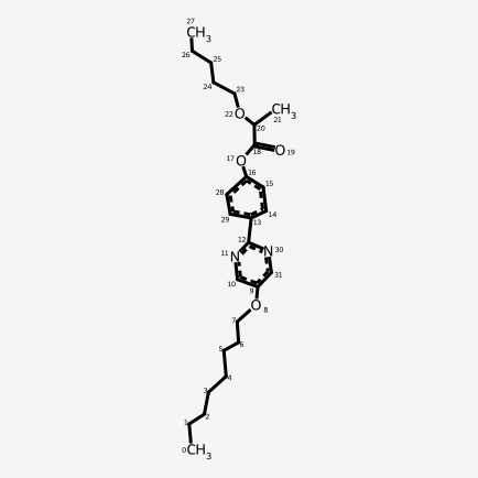 CCCCCCCCOc1cnc(-c2ccc(OC(=O)C(C)OCCCCC)cc2)nc1